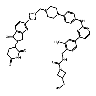 Cc1cc(-c2ccnc(Nc3ccc(N4CCN(CC5CN(c6ccc7c(n6)CN(C6CCC(=O)NC6=O)C7=O)C5)CC4)cc3)n2)ccc1CNC(=O)N1CC(OC(C)C)C1